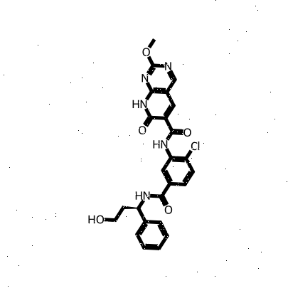 COc1ncc2cc(C(=O)Nc3cc(C(=O)N[C@H](CCO)c4ccccc4)ccc3Cl)c(=O)[nH]c2n1